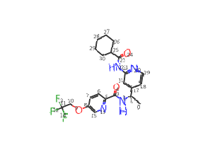 CC(NC(=O)c1ccc(OCC(F)(F)F)cn1)c1ccnc(NC(=O)C2CCCCC2)c1